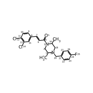 CC1CN(C(=O)C=Cc2ccc(Cl)c(Cl)c2)C(C)CN1Cc1ccc(F)cc1